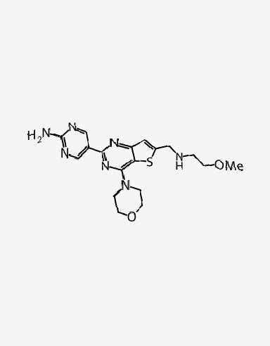 COCCNCc1cc2nc(-c3cnc(N)nc3)nc(N3CCOCC3)c2s1